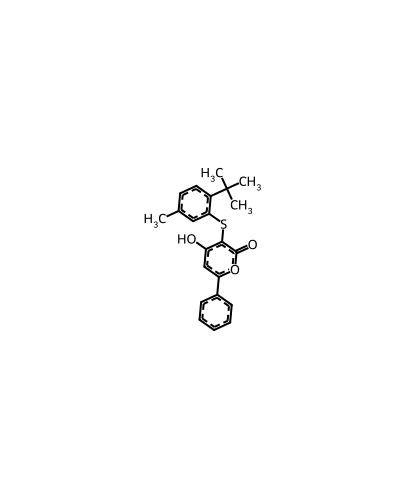 Cc1ccc(C(C)(C)C)c(Sc2c(O)cc(-c3ccccc3)oc2=O)c1